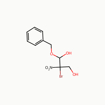 O=[N+]([O-])C(Br)(CO)C(O)OCc1ccccc1